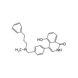 CN(CCCc1ccccc1)Cc1ccc(-c2c[nH]c(=O)c3cccc(O)c23)cc1